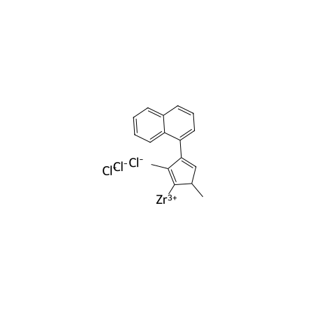 CC1=[C]([Zr+3])C(C)C=C1c1cccc2ccccc12.[Cl-].[Cl-].[Cl-]